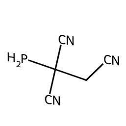 N#CCC(P)(C#N)C#N